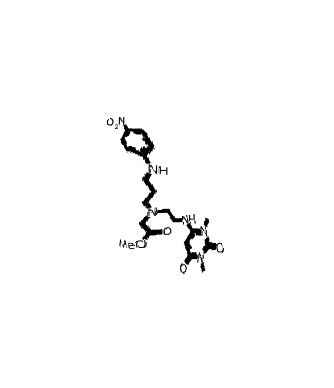 COC(=O)CN(CCCNc1ccc([N+](=O)[O-])cc1)CCNc1cc(=O)n(C)c(=O)n1C